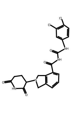 O=C1CCC(N2Cc3cccc(C(=O)NC(=O)Nc4ccc(Cl)c(Cl)c4)c3C2)C(=O)N1